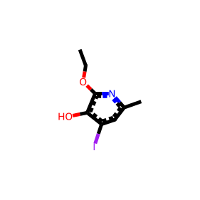 CCOc1nc(C)cc(I)c1O